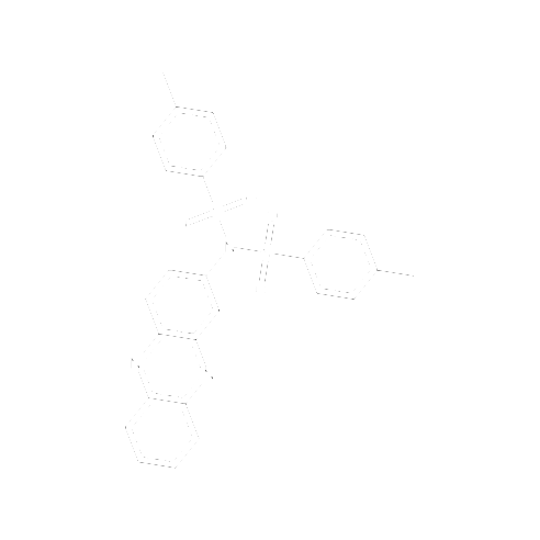 Cc1ccc(S(=O)(=O)N(c2ccc3nc4ccccc4nc3c2)S(=O)(=O)c2ccc(C)cc2)cc1